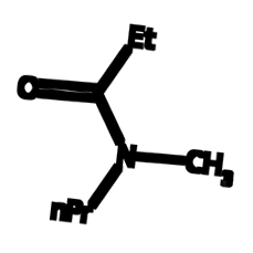 [CH2]CCN(C)C(=O)CC